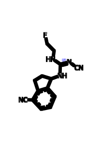 N#C/N=C(/NCCF)NC1CCc2c(C#N)cccc21